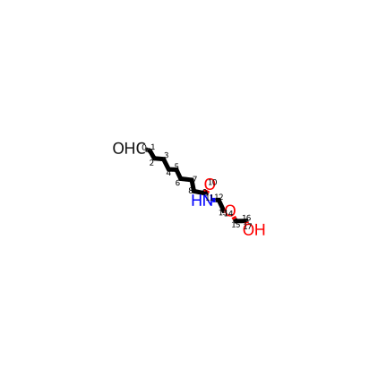 O=CCCCCCCCCC(=O)NCCOCCO